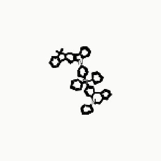 CC1(C)c2ccccc2C2=Cc3c(c4ccccc4n3-c3ccc([Si](C4=CC5c6ccccc6CN(c6ccccc6)C5C=C4)(c4ccccc4)c4ccccc4)cc3)CC21